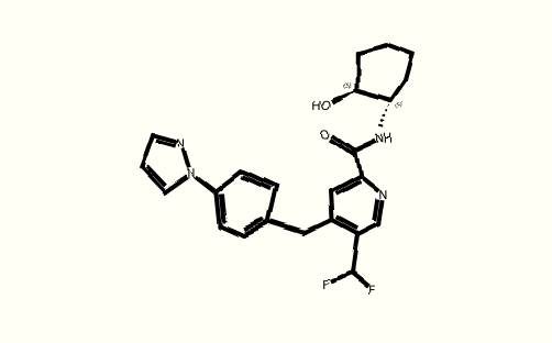 O=C(N[C@H]1CCCC[C@@H]1O)c1cc(Cc2ccc(-n3cccn3)cc2)c(C(F)F)cn1